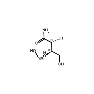 CCCCO.NC(=O)[C@H](O)[C@H](O)CO